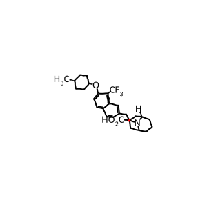 C[C@H]1CC[C@@H](Oc2ccc3ccc(CCN4C5CCC[C@H]4CC(C(=O)O)C5)cc3c2C(F)(F)F)CC1